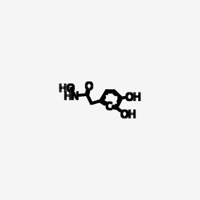 O=C(Cc1ccc(O)c(O)c1)NO